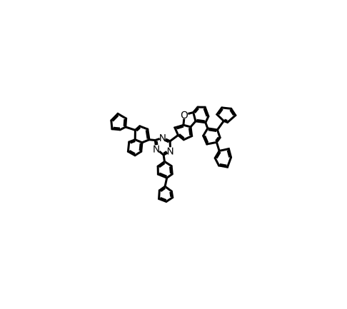 c1ccc(-c2ccc(-c3nc(-c4ccc5c(c4)oc4cccc(-c6ccc(-c7ccccc7)cc6-c6ccccc6)c45)nc(-c4ccc(-c5ccccc5)c5ccccc45)n3)cc2)cc1